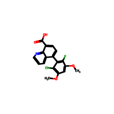 COc1cc(OC)c(Cl)c(-c2ccc(C(=O)O)c3ncccc23)c1F